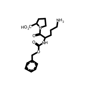 NCCCC(NC(=O)OCc1ccccc1)C(=O)N1CCCC1C(=O)O